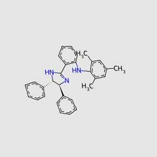 Cc1cc(C)c(Nc2ccccc2C2=N[C@@H](c3ccccc3)[C@H](c3ccccc3)N2)c(C)c1